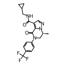 C[C@H]1CN(c2ccc(C(F)(F)F)cc2)C(=O)c2c(C(=O)NCC3CC3)cnn21